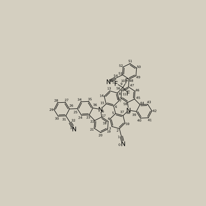 N#Cc1ccc(-c2cc(C(F)(F)F)ccc2-n2c3ccccc3c3cc(-c4ccccc4C#N)ccc32)c(-n2c3ccccc3c3cc(-c4ccccc4C#N)ccc32)c1